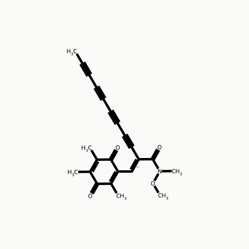 CC#CC#CC#CC#C/C(=C\C1=C(C)C(=O)C(C)=C(C)C1=O)C(=O)N(C)OC